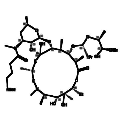 CCCCCCCCCCCCCC(=O)N(C)[C@H]1C[C@@H](C)O[C@@H](O[C@@H]2[C@@H](C)[C@H](O[C@@H](CCC)O[C@@H](C)[C@H](O)OC)[C@@H](C)C(=O)O[C@H](CC)[C@@](C)(O)[C@H](O)[C@@H](C)N(C)C[C@H](C)C[C@@]2(C)O)[C@@H]1O